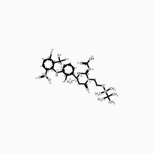 CC(C)(C)[Si](C)(C)OCCN1C(=O)C[C@@](C)(c2cccc(Nc3c([N+](=O)[O-])ccc(F)c3C(F)(F)F)c2F)N/C1=N\C(=O)O